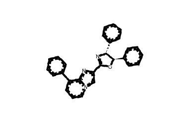 c1ccc(-c2cccn3cc(C4=N[C@H](c5ccccc5)[C@@H](c5ccccc5)O4)nc23)cc1